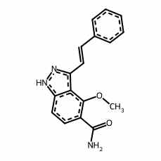 COc1c(C(N)=O)ccc2[nH]nc(C=Cc3ccccc3)c12